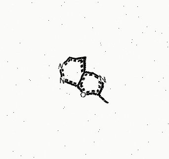 Cc1nc2ccnnc2o1